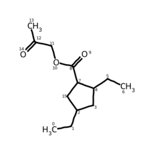 CCC1CC(CC)C(C(=O)OCC(C)=O)C1